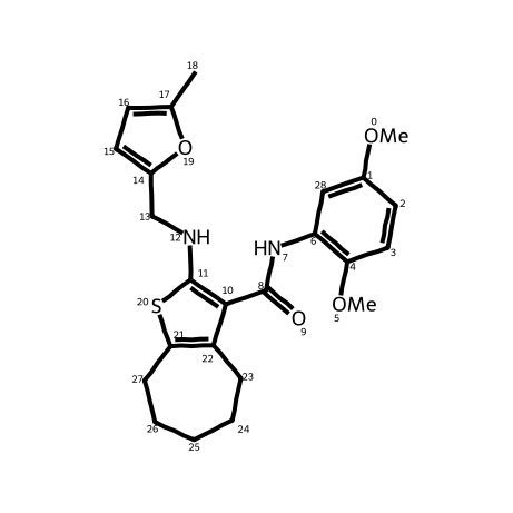 COc1ccc(OC)c(NC(=O)c2c(NCc3ccc(C)o3)sc3c2CCCCC3)c1